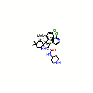 CNc1cc(Cl)ccc1[C@]1(C=O)[C@@H](c2ccnc(Cl)c2F)[C@H](C(=O)NC2CCNCC2)NC12CCC(C)(C)CC2